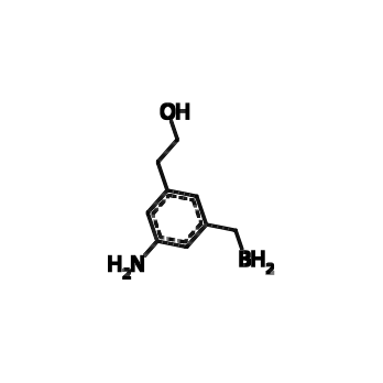 BCc1cc(N)cc(CCO)c1